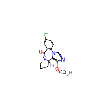 O=C(O)Oc1ncn2c1[C@@H]1CCCN1C(=O)c1cc(Cl)ccc1-2